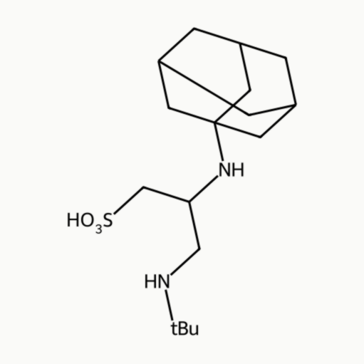 CC(C)(C)NCC(CS(=O)(=O)O)NC12CC3CC(CC(C3)C1)C2